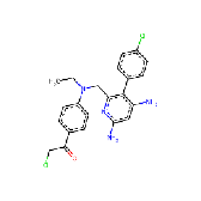 CCN(Cc1nc(N)cc(N)c1-c1ccc(Cl)cc1)c1ccc(C(=O)CCl)cc1